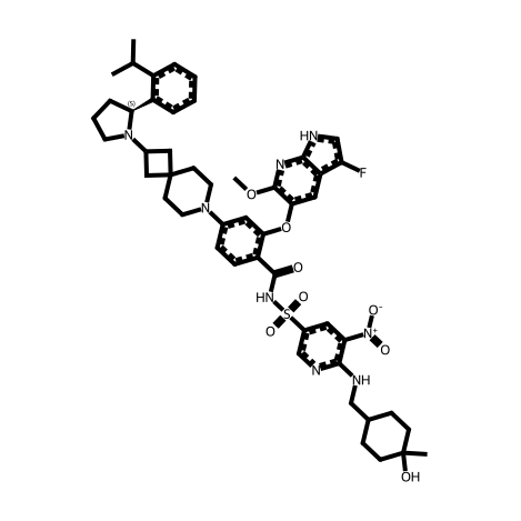 COc1nc2[nH]cc(F)c2cc1Oc1cc(N2CCC3(CC2)CC(N2CCC[C@H]2c2ccccc2C(C)C)C3)ccc1C(=O)NS(=O)(=O)c1cnc(NCC2CCC(C)(O)CC2)c([N+](=O)[O-])c1